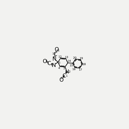 O=C=NC1=CC(N=C=O)(N=C=O)C=CC1c1ccccc1